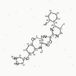 Cc1cnc(C(=O)N[C@H]2COc3ccc(Oc4cnn(C)c4)cc3N(C)C2=O)nc1-c1ccccc1F